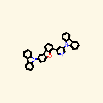 c1cc(-c2cncc(-n3c4ccccc4c4ccccc43)c2)c2oc3ccc(-n4c5ccccc5c5ccccc54)cc3c2c1